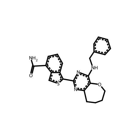 NC(=O)c1cccc2c(-c3nc4c(c(NCc5ccccc5)n3)OCCCC4)scc12